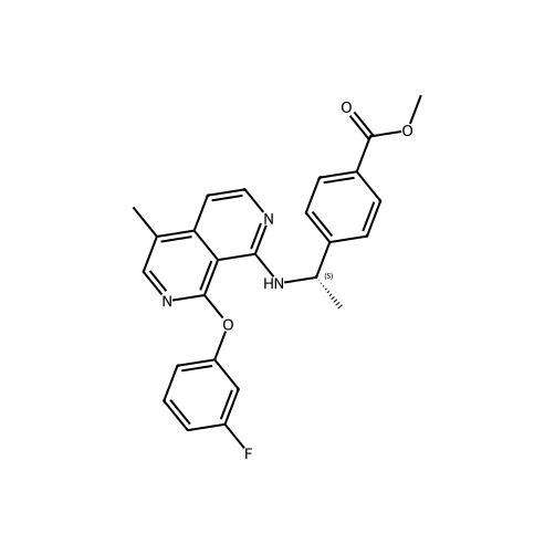 COC(=O)c1ccc([C@H](C)Nc2nccc3c(C)cnc(Oc4cccc(F)c4)c23)cc1